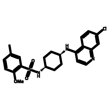 COc1ccc(C)cc1S(=O)(=O)N[C@H]1CC[C@@H](Nc2ccnc3cc(Cl)ccc23)CC1